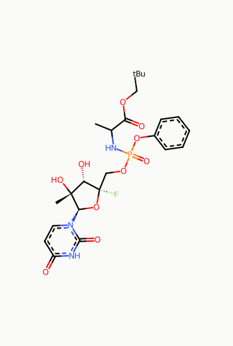 CC(NP(=O)(OC[C@@]1(F)O[C@@H](n2ccc(=O)[nH]c2=O)[C@](C)(O)[C@@H]1O)Oc1ccccc1)C(=O)OCC(C)(C)C